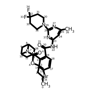 CCCCOC(=O)N1C2CC1CN(c1cc(Br)ccc1C(=O)Nc1cc(C)nc(N3CCC(F)(F)CC3)n1)C2